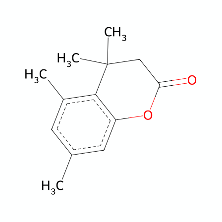 Cc1cc(C)c2c(c1)OC(=O)CC2(C)C